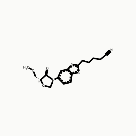 COC[C@H]1OCN(c2ccc3nc(CCCCC#N)sc3c2)C1=O